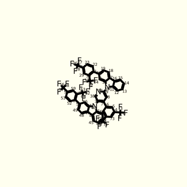 FC(F)(F)c1cc(-c2cc(-n3c4ccccc4c4ccc(-c5ccc(C(F)(F)F)cc5C(F)(F)F)cc43)ncc2-n2c3ccccc3c3ccc(-c4ccc(C(F)(F)F)cc4C(F)(F)F)cc32)cc(C(F)(F)F)c1